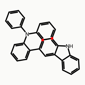 c1ccc(N(c2ccccc2)c2ccccc2-c2ccc3[nH]c4ccccc4c3c2)cc1